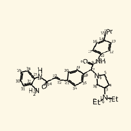 CCN(CC)C1CCN(C(C(=O)Nc2ccc(C(C)C)cc2)c2ccc(C=CC(=O)Nc3ccccc3N)cc2)C1